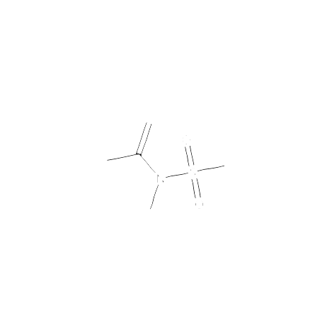 C=C(C)N(C)S(C)(=O)=O